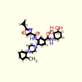 Cc1ccccc1N1CCN(c2ccc(C(=O)N[C@H]3CCCC(O)C3O)cc2NC(=O)c2coc(C3CC3)n2)CC1